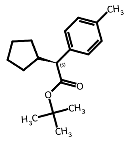 Cc1ccc([C@@H](C(=O)OC(C)(C)C)C2CCCC2)cc1